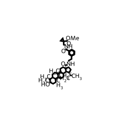 C=C(C)[C@@H]1CC[C@]2(C(=O)NCCc3cccc(C(=O)NCC4(C(=O)OC)CC4)c3)CC[C@]3(C)C(CCC4[C@@]5(C)CC[C@H](O)C(C)(C)C5CC[C@]43C)C12